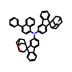 c1ccc(-c2ccc(N(c3ccc4c(c3)-c3ccccc3C43C4CCC5CC(C4)CC3C5)c3ccc4c(c3)C3(c5ccccc5-4)C4CCC5CC(C4)CC3C5)c3ccccc23)cc1